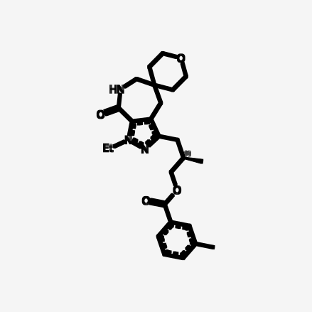 CCn1nc(C[C@@H](C)COC(=O)c2cccc(C)c2)c2c1C(=O)NCC1(CCOCC1)C2